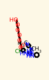 CN1C=CC(N(C)c2nc(Nc3ccc(OC(=O)CCOCCOCCOCCOCCO)c(Cl)c3)nc(NC3CCCCCC3)n2)CC1